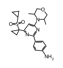 CC1COCC(C)N1c1cc(C2(S(=O)(=O)C3CC3)CC2)nc(-c2ccc(N)cc2)n1